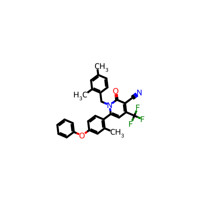 Cc1ccc(Cn2c(-c3ccc(Oc4ccccc4)cc3C)cc(C(F)(F)F)c(C#N)c2=O)c(C)c1